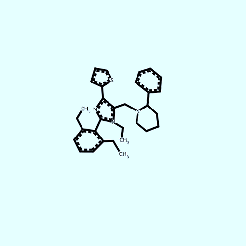 CCc1cccc(CC)c1-c1nc(-c2cccs2)c(CN2CCCCC2c2ccccc2)n1CC